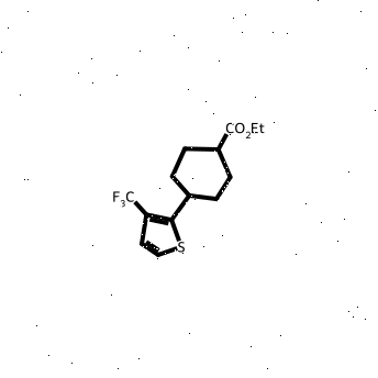 CCOC(=O)C1CCC(c2sccc2C(F)(F)F)CC1